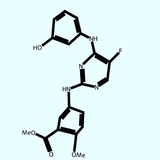 COC(=O)c1cc(Nc2ncc(F)c(Nc3cccc(O)c3)n2)ccc1OC